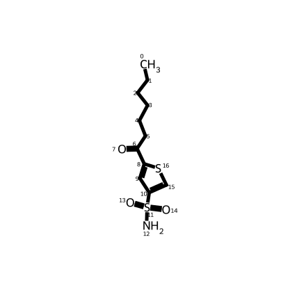 CCCCCCC(=O)c1cc(S(N)(=O)=O)cs1